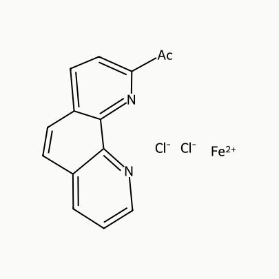 CC(=O)c1ccc2ccc3cccnc3c2n1.[Cl-].[Cl-].[Fe+2]